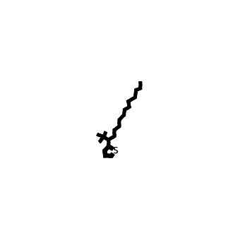 CCCCCCCCCCCCC(c1cccs1)C(C)(C)C